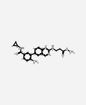 COC(=O)CCNc1ncc2cc(-c3cc(C(=O)NC4CC4)ccc3C)ccc2n1